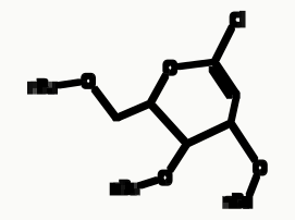 CCCCOCC1OC(Cl)=CC(OCCCC)C1OCCCC